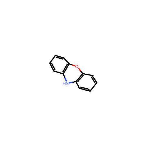 [c]1cccc2c1Oc1[c]cccc1N2